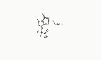 Cc1csc2oc(CCN)nc(=O)c12.O=C(O)C(F)(F)F